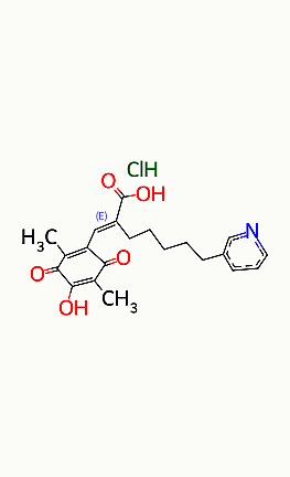 CC1=C(O)C(=O)C(C)=C(/C=C(\CCCCCc2cccnc2)C(=O)O)C1=O.Cl